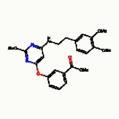 COC(=O)c1cccc(Oc2cc([AsH]CCc3ccc(OC)c(OC)c3)nc(OC)n2)c1